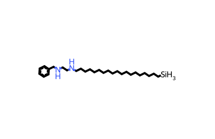 [SiH3]CCCCCCCCCCCCCCCCCCCNCCNCc1ccccc1